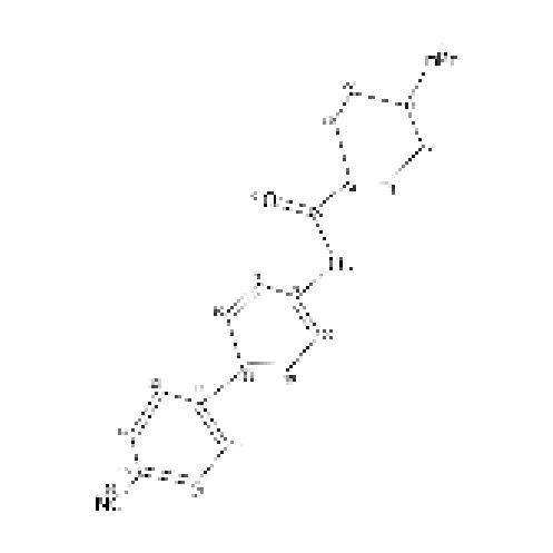 CCCC1CCC(C(=O)Oc2ccc(-c3ccc(C#N)cc3)cc2)CC1